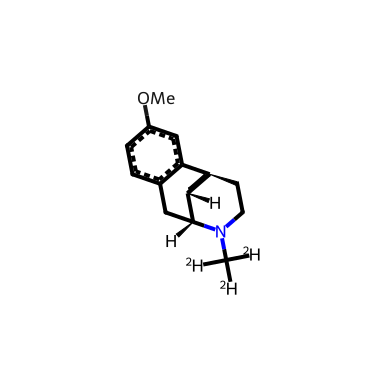 [2H]C([2H])([2H])N1CC[C@]23CCCC[C@H]2[C@H]1Cc1ccc(OC)cc13